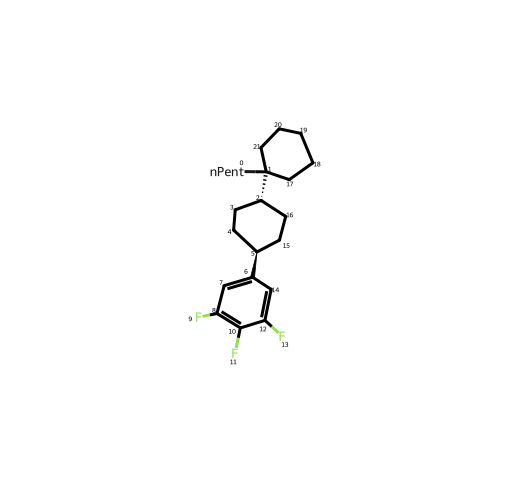 CCCCCC1([C@H]2CC[C@H](c3cc(F)c(F)c(F)c3)CC2)CCCCC1